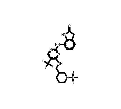 CS(=O)(=O)N1CCCC(CNc2nc(Nc3cccc4c3NC(=O)C4)ncc2C(F)(F)F)C1